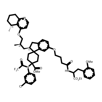 CCOC(=O)C(Cc1ccccc1OC)NC(=O)CCCOc1ccc2c(c1)C1(CCC(C(=O)OC)(N(C(=O)C(F)(F)F)c3cccc(Cl)c3)CC1)[C@@H](C[C@@H](C)COc1ccnc3c1[C@H](C)CCC3)C2